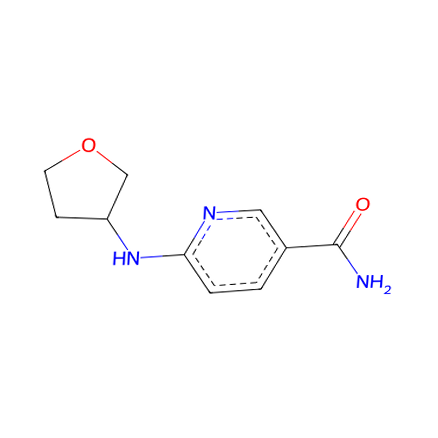 NC(=O)c1ccc(NC2CCOC2)nc1